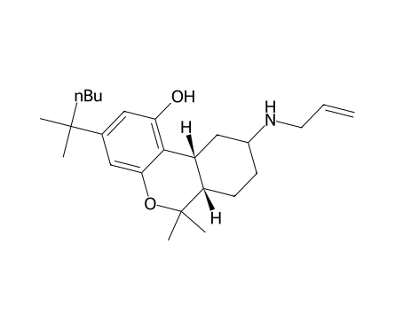 C=CCNC1CC[C@H]2[C@@H](C1)c1c(O)cc(C(C)(C)CCCC)cc1OC2(C)C